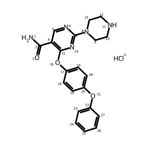 Cl.NC(=O)c1cnc(N2CCNCC2)nc1Oc1ccc(Oc2ccccc2)cc1